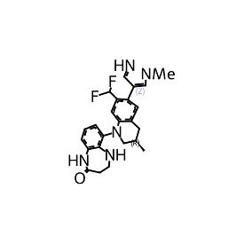 CN/C=C(\C=N)c1cc2c(cc1C(F)F)N(c1cccc3c1NCCC(=O)N3)C[C@H](C)C2